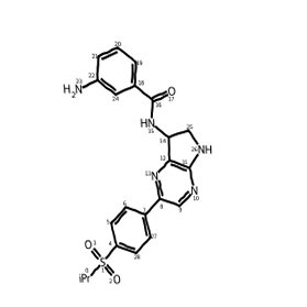 CC(C)S(=O)(=O)c1ccc(-c2cnc3c(n2)C(NC(=O)c2cccc(N)c2)CN3)cc1